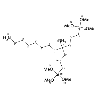 CO[Si](CCCC(N)(CCCCCCCN)CCC[Si](OC)(OC)OC)(OC)OC